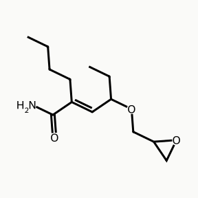 CCCCC(=CC(CC)OCC1CO1)C(N)=O